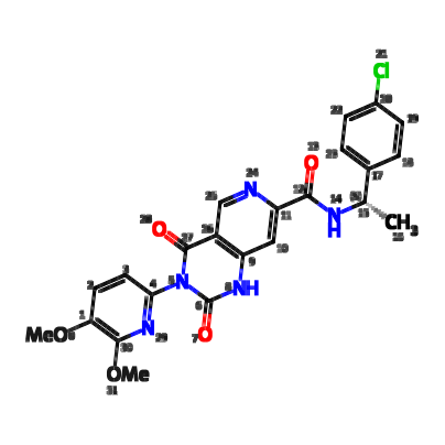 COc1ccc(-n2c(=O)[nH]c3cc(C(=O)N[C@@H](C)c4ccc(Cl)cc4)ncc3c2=O)nc1OC